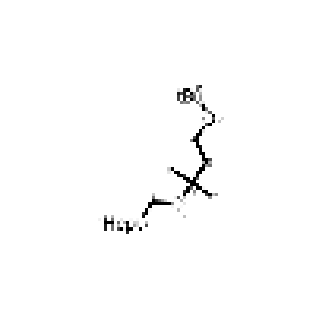 CCCCCCCCOC(C)(C)CCOC(C)(C)C